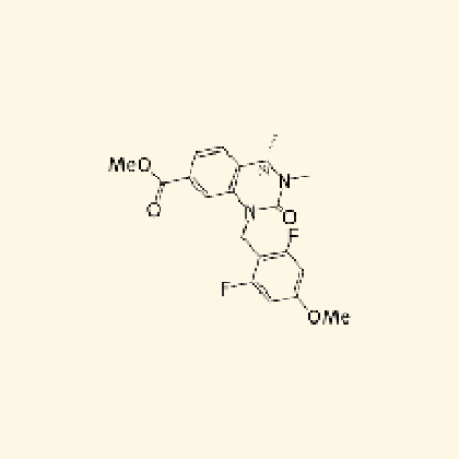 COC(=O)c1ccc2c(c1)N(Cc1c(F)cc(OC)cc1F)C(=O)N(C)[C@H]2C